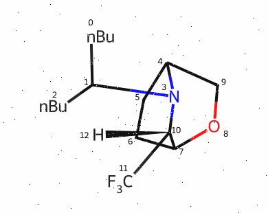 CCCCC(CCCC)N1C2CCC(OC2)[C@@H]1C(F)(F)F